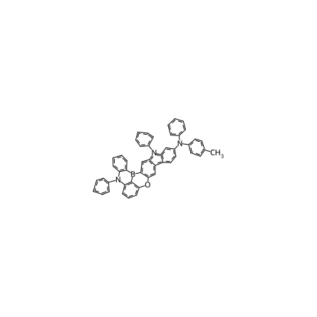 Cc1ccc(N(c2ccccc2)c2ccc3c4cc5c(cc4n(-c4ccccc4)c3c2)B2c3ccccc3N(c3ccccc3)c3cccc(c32)O5)cc1